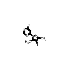 Cc1nn(-c2cc(Cl)ncn2)c(C)c1I